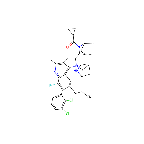 Cc1nc2c(F)c(-c3cccc(Cl)c3Cl)c(CCC#N)cc2c2c1cc(C1C3CCC(C3)N1C(=O)C1CC1)n2C1C2CNC1C2